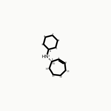 C1=C[C@@H](NC2CCCCC2)CCCC1